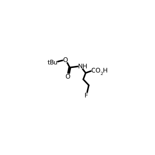 CC(C)(C)OC(=O)NC(CCF)C(=O)O